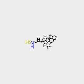 CC1CC2CCCCC2(C)C2CCC3(C)C(CCCCCNS)CCC3C12